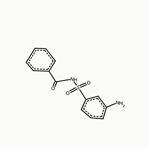 Nc1cccc(S(=O)(=O)NC(=O)c2ccccc2)c1